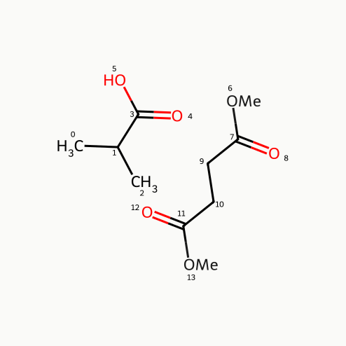 CC(C)C(=O)O.COC(=O)CCC(=O)OC